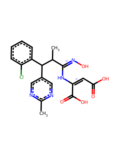 Cc1ncc(C(c2ccccc2Cl)C(C)/C(=N/O)N/C(=C/C(=O)O)C(=O)O)cn1